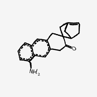 Nc1cccc2cc3c(cc12)CC(=O)C1(CC2=CCC1C2)C3